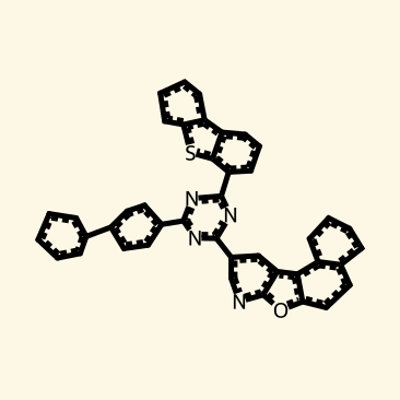 c1ccc(-c2ccc(-c3nc(-c4cnc5oc6ccc7ccccc7c6c5c4)nc(-c4cccc5c4sc4ccccc45)n3)cc2)cc1